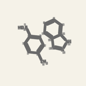 Cc1ccc(S(=O)(=O)O)cc1.c1ccc2[nH]nnc2c1